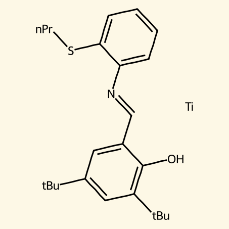 CCCSc1ccccc1N=Cc1cc(C(C)(C)C)cc(C(C)(C)C)c1O.[Ti]